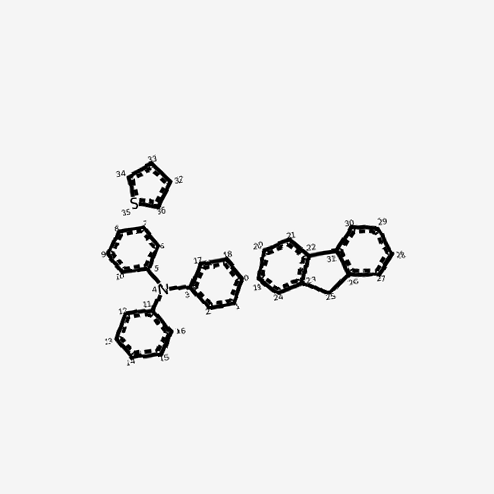 c1ccc(N(c2ccccc2)c2ccccc2)cc1.c1ccc2c(c1)Cc1ccccc1-2.c1ccsc1